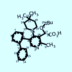 Cc1ncc(-c2ccccc2-c2ccccc2)c(N2CCC(C)(C)CC2)c1[C@H](OC(C)(C)C)C(=O)O